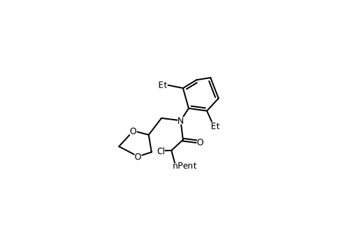 CCCCCC(Cl)C(=O)N(CC1COCO1)c1c(CC)cccc1CC